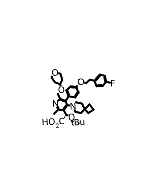 Cc1nc(COC2CCOCC2)c(-c2ccc(OCCc3ccc(F)cc3)cc2)c(N2CCC3(CCC3)CC2)c1[C@H](OC(C)(C)C)C(=O)O